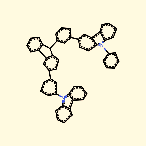 c1ccc(-n2c3ccccc3c3cc(-c4cccc(C5c6ccccc6-c6cc(-c7cccc(-n8c9ccccc9c9ccccc98)c7)ccc65)c4)ccc32)cc1